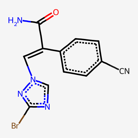 N#Cc1ccc(/C(=C\n2cnc(Br)n2)C(N)=O)cc1